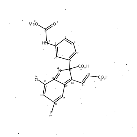 COC(=O)Nc1cccc(C2(C(=O)O)N=c3c(Cl)cc(F)cc3=C2C=CC(=O)O)c1